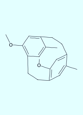 COc1cc2c(C)cc1CCc1cc(C)c(cc1OC)CC2